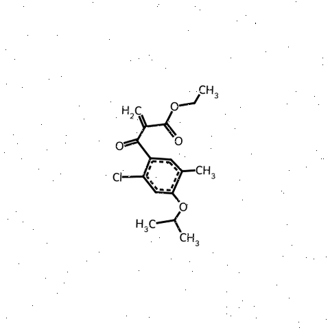 C=C(C(=O)OCC)C(=O)c1cc(C)c(OC(C)C)cc1Cl